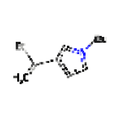 C=C(CC)c1ccn(C(C)CC)c1